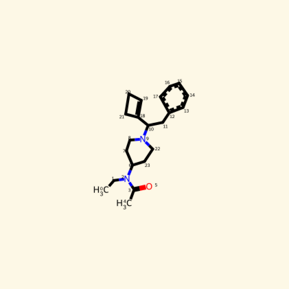 CCN(C(C)=O)C1CCN(C(Cc2ccccc2)C2=CCC2)CC1